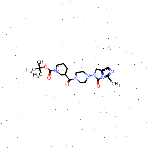 Cc1ncc2n1C(=O)N(N1CCN(C(=O)C3CCCN(C(=O)OC(C)(C)C)C3)CC1)C2